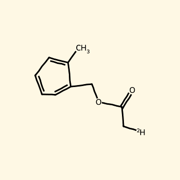 [2H]CC(=O)OCc1ccccc1C